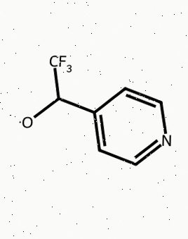 [O]C(c1ccncc1)C(F)(F)F